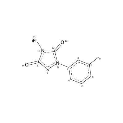 Cc1cccc(-n2sc(=O)n(C(C)C)c2=O)c1